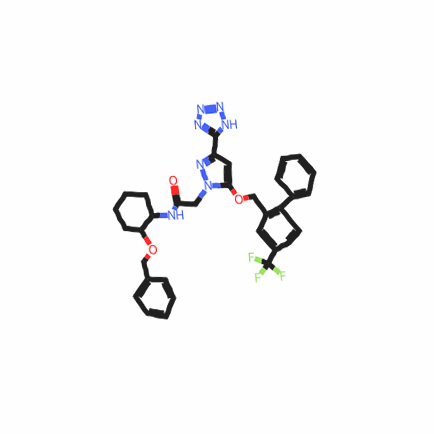 O=C(Cn1nc(-c2nnn[nH]2)cc1OCc1cc(C(F)(F)F)ccc1-c1ccccc1)NC1CCCCC1OCc1ccccc1